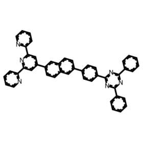 c1ccc(-c2nc(-c3ccccc3)nc(-c3ccc(-c4ccc5cc(-c6cc(-c7ccccn7)nc(-c7ccccn7)c6)ccc5c4)cc3)n2)cc1